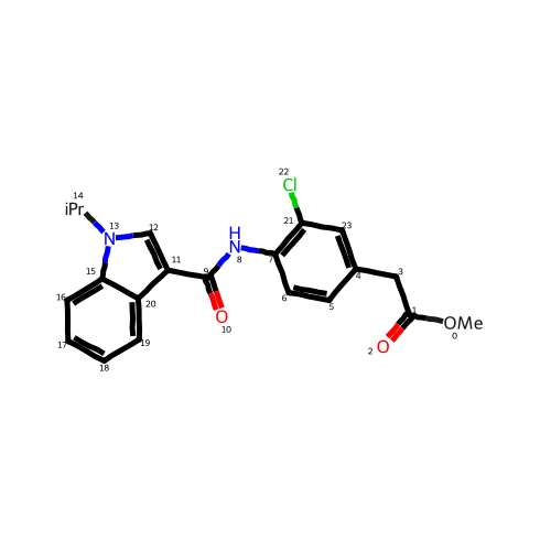 COC(=O)Cc1ccc(NC(=O)c2cn(C(C)C)c3ccccc23)c(Cl)c1